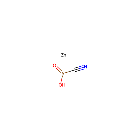 N#CS(=O)O.[Zn]